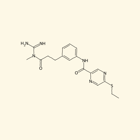 CCSc1cnc(C(=O)Nc2cccc(CCC(=O)N(C)C(=N)N)c2)cn1